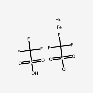 O=S(=O)(O)C(F)(F)F.O=S(=O)(O)C(F)(F)F.[Fe].[Hg]